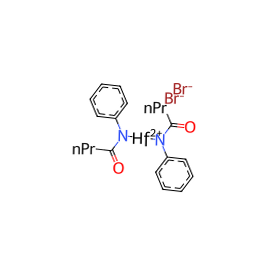 CCCC(=O)[N]([Hf+2][N](C(=O)CCC)c1ccccc1)c1ccccc1.[Br-].[Br-]